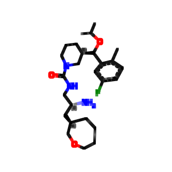 Cc1ccc(F)cc1C(OC(C)C)[C@@H]1CCCN(C(=O)NC[C@H](N)C[C@H]2CCCCOC2)C1